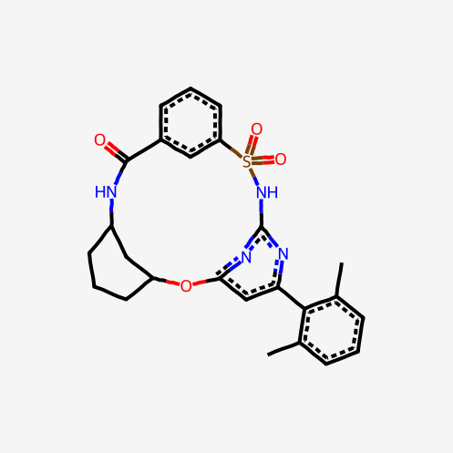 Cc1cccc(C)c1-c1cc2nc(n1)NS(=O)(=O)c1cccc(c1)C(=O)NC1CCCC(C1)O2